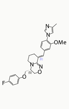 COc1cc(/C=C2\CCCN3C2=NOC[C@@H]3COc2ccc(F)cc2)ccc1-n1cnc(C)c1